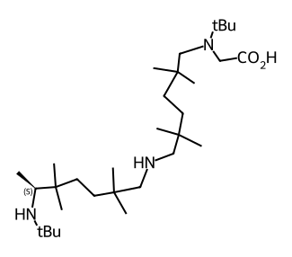 C[C@H](NC(C)(C)C)C(C)(C)CCC(C)(C)CNCC(C)(C)CCC(C)(C)CN(CC(=O)O)C(C)(C)C